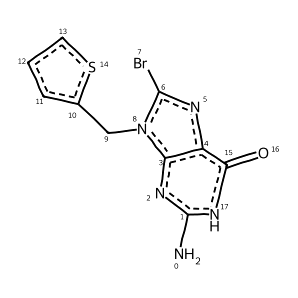 Nc1nc2c(nc(Br)n2Cc2cccs2)c(=O)[nH]1